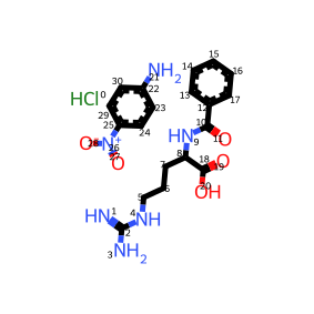 Cl.N=C(N)NCCCC(NC(=O)c1ccccc1)C(=O)O.Nc1ccc([N+](=O)[O-])cc1